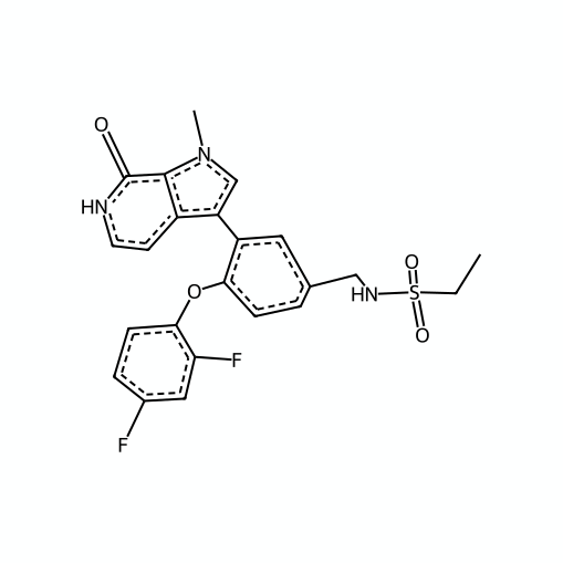 CCS(=O)(=O)NCc1ccc(Oc2ccc(F)cc2F)c(-c2cn(C)c3c(=O)[nH]ccc23)c1